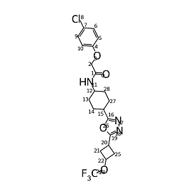 O=C(COc1ccc(Cl)cc1)NC1CCC(c2nnc(C3CC(OC(F)(F)F)C3)o2)CC1